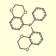 c1ccc(P(c2cccc3c2OCCO3)c2cccc3c2OCCO3)cc1